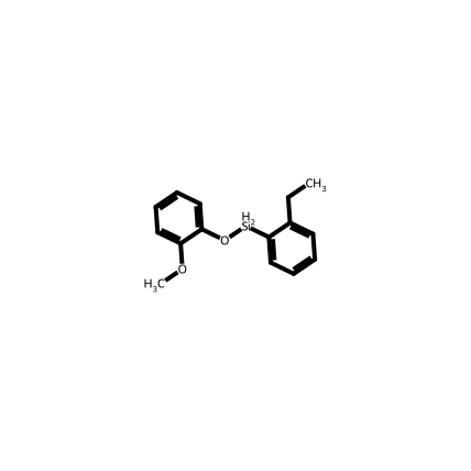 CCc1ccccc1[SiH2]Oc1ccccc1OC